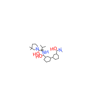 CC(C)[C@@H](NC(O)C1CCCC(C2CCCC(C(O)N(C)C)C2)C1)C(O)N1CCCC(C)(C)C1